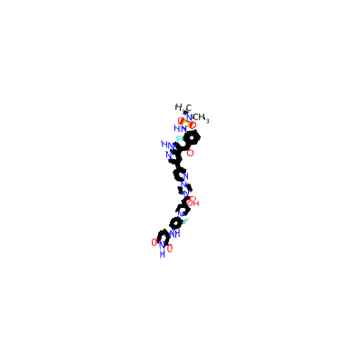 CCN(C)S(=O)(=O)Nc1cccc(C(=O)c2c[nH]c3ncc(-c4ccc(N5CCN(C(=O)CC6(O)CCN(c7ccc(NC8CCC(=O)NC8=O)cc7F)CC6)CC5)nc4)cc23)c1F